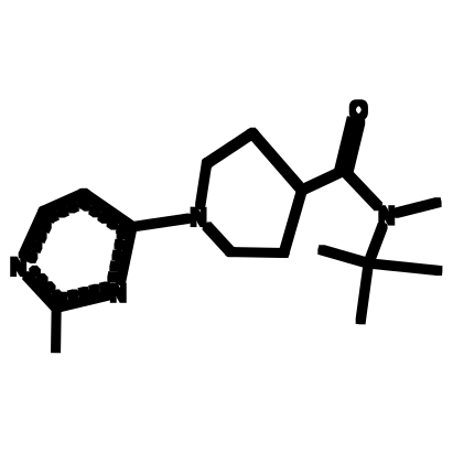 Cc1nccc(N2CCC(C(=O)N(C)C(C)(C)C)CC2)n1